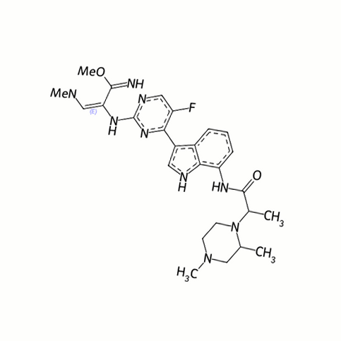 CN/C=C(/Nc1ncc(F)c(-c2c[nH]c3c(NC(=O)C(C)N4CCN(C)CC4C)cccc23)n1)C(=N)OC